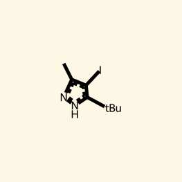 Cc1n[nH]c(C(C)(C)C)c1I